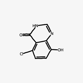 O=c1[nH]cnc2c(O)ccc(Cl)c12